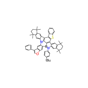 CC(C)(C)c1ccc(N2B3c4cc5occ(-c6ccccc6)c5cc4-n4c5cc6c(cc5c5c7c(sc8ccccc87)c(c3c54)-c3cc4c(cc32)C(C)(C)CCC4(C)C)C(C)(C)CCC6(C)C)cc1